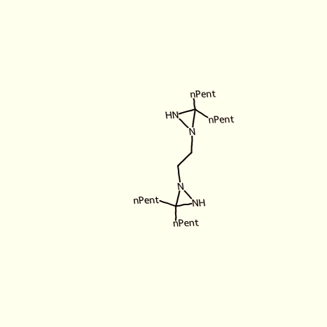 CCCCCC1(CCCCC)NN1CCN1NC1(CCCCC)CCCCC